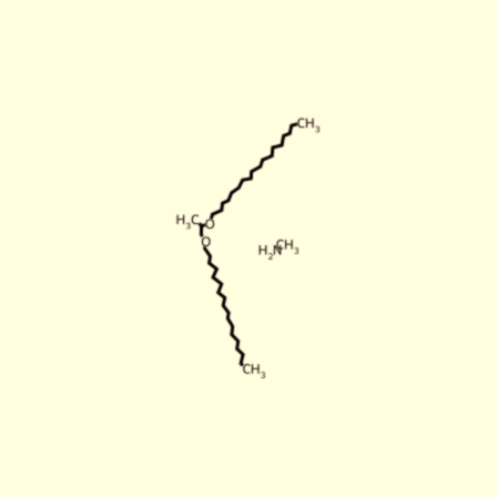 CCCCCCCCCCCCCCCCCCOCC(C)OCCCCCCCCCCCCCCCCCC.CN